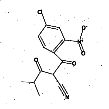 CC(C)C(=O)C(C#N)C(=O)c1ccc(Cl)cc1[N+](=O)[O-]